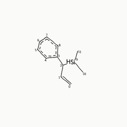 C=CC(c1ccccc1)[SiH](C)C